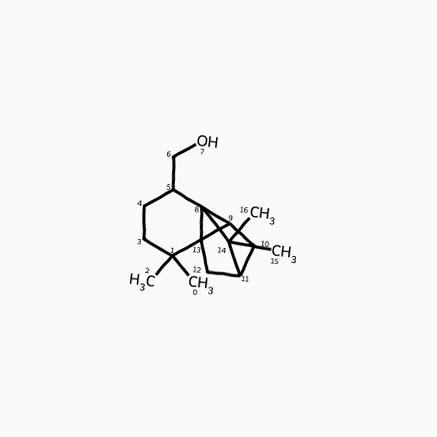 CC1(C)CCC(CO)C23C4CC(CC412)C3(C)C